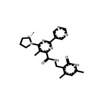 Cc1cc(C)c(CNC(=O)c2nc(-c3cncnc3)nc(N3CCC[C@@H]3C)c2C)c(=O)[nH]1